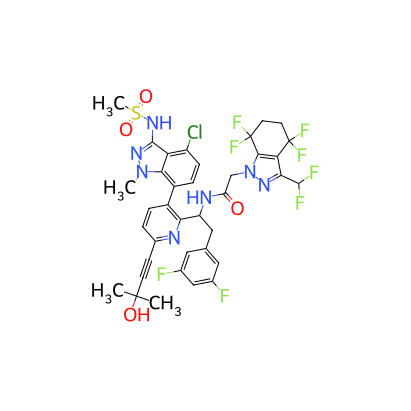 Cn1nc(NS(C)(=O)=O)c2c(Cl)ccc(-c3ccc(C#CC(C)(C)O)nc3C(Cc3cc(F)cc(F)c3)NC(=O)Cn3nc(C(F)F)c4c3C(F)(F)CCC4(F)F)c21